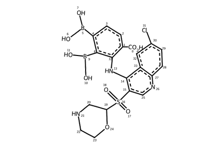 O=C(O)c1ccc(B(O)O)c(B(O)O)c1Nc1c(S(=O)(=O)C2CNCCO2)cnc2ccc(Cl)cc12